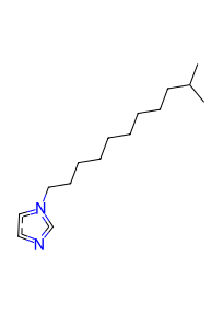 CC(C)CCCCCCCCCn1ccnc1